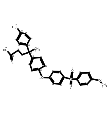 COc1ccc(S(=O)(=O)c2ccc(Oc3ccc(C(C)(CCC(=O)O)c4ccc(C)cc4)cc3)cc2)cc1